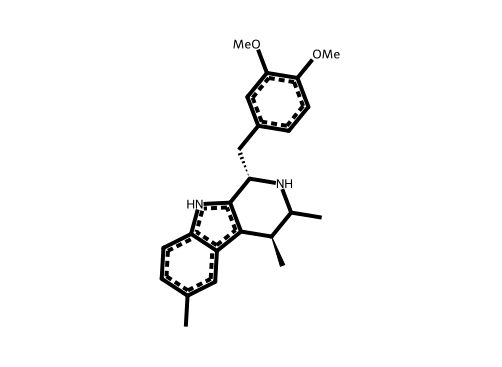 COc1ccc(C[C@@H]2NC(C)[C@@H](C)c3c2[nH]c2ccc(C)cc32)cc1OC